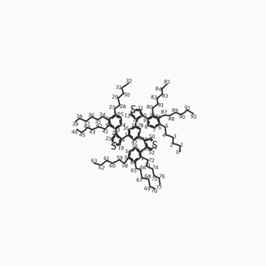 CCCCCCc1ccc(-c2cscc2-c2cc(-c3cscc3-c3ccc(CCCCCC)c(CCCCCC)c3CCCCCC)cc(-c3cscc3-c3ccc(CCCCCC)c(CCCCCC)c3CCCCCC)c2)c(CCCCCC)c1CCCCCC